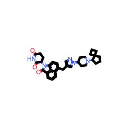 O=C1CCC(N2C(=O)c3cccc4c(Cc5cnn(C6CCN([C@@H]7CCCC78CCC8)CC6)c5)ccc2c34)C(=O)N1